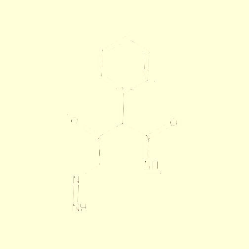 N=NCC(=O)C(C(N)=O)c1ccccc1